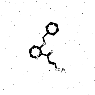 CCOC(=O)C=CC(=O)c1ncccc1OCc1ccccc1